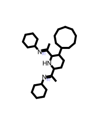 C/C(=N\C1CCCCC1)C1CCC(C2CCCCCCCC2)C(/C(C)=N/C2CCCCC2)N1